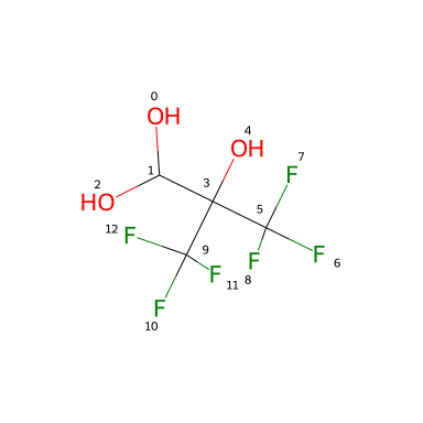 OC(O)C(O)(C(F)(F)F)C(F)(F)F